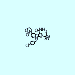 Cc1noc(C)c1-c1cc(C(N)=O)c2c3cc(N4CCCOC4=O)ccc3n(Cc3ccc(Cl)cc3)c2c1